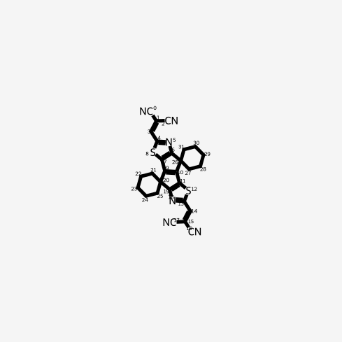 N#CC(C#N)=Cc1nc2c(s1)C1=C(c3sc(C=C(C#N)C#N)nc3C13CCCCC3)C21CCCCC1